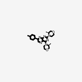 Cc1ccc(-c2cnc3c(N4CCOC[C@@H]4C)nc(N4CCOC[C@@H]4C)nc3n2)cc1